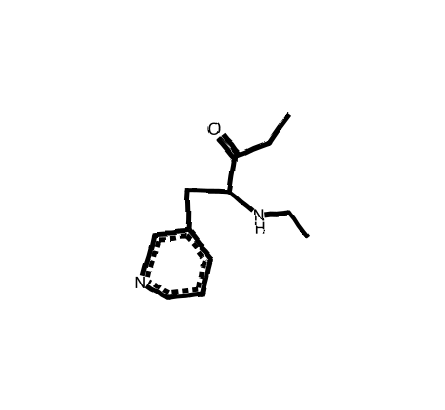 CCNC(Cc1cccnc1)C(=O)CC